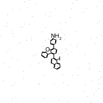 Nc1ccc(-c2ccc(-c3ccc4ccccc4c3I)c3c2oc2ccccc23)cc1